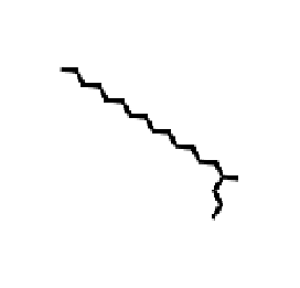 CCCCCCCCCCCCCCC(C)CCC